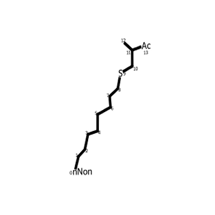 CCCCCCCCCCCCCCCCCSCC(C)C(C)=O